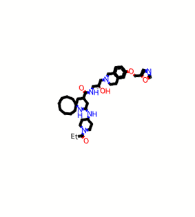 CCC(=O)N1CCC(NC2CC(C(=O)NC[C@H](O)CN3CCc4cc(OCc5cnco5)ccc4C3)CC3(CCCCCCCC3)N2)CC1